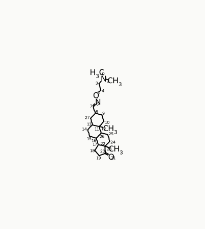 CN(C)CCON=CC1CCC2(C)C(CCC3C4CCC(=O)C4(C)CCC32)C1